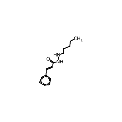 CCCCCNNC(=O)C=Cc1ccccc1